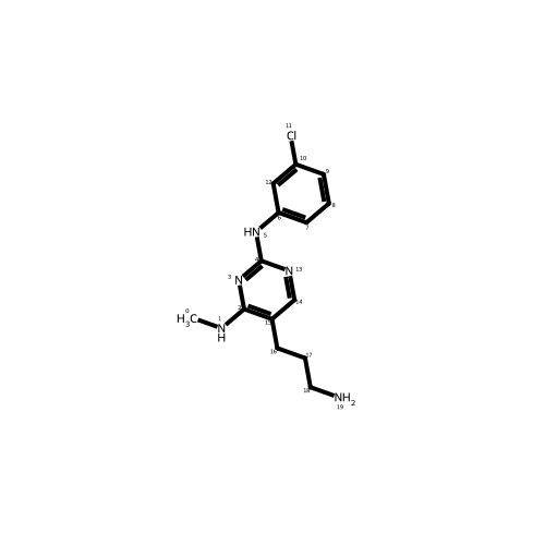 CNc1nc(Nc2cccc(Cl)c2)ncc1CCCN